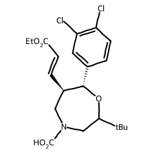 CCOC(=O)C=C[C@@H]1CN(C(=O)O)CC(C(C)(C)C)O[C@H]1c1ccc(Cl)c(Cl)c1